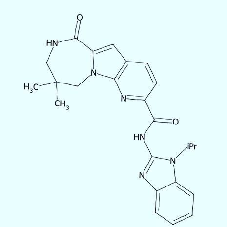 CC(C)n1c(NC(=O)c2ccc3cc4n(c3n2)CC(C)(C)CNC4=O)nc2ccccc21